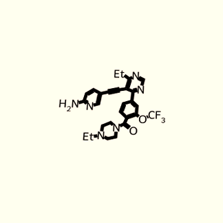 CCc1ncnc(-c2ccc(C(=O)N3CCN(CC)CC3)c(OC(F)(F)F)c2)c1C#Cc1ccc(N)nc1